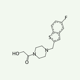 O=C(CO)N1CCN(Cc2cc3cc(F)ccc3s2)CC1